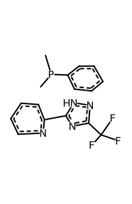 CP(C)c1ccccc1.FC(F)(F)c1n[nH]c(-c2ccccn2)n1